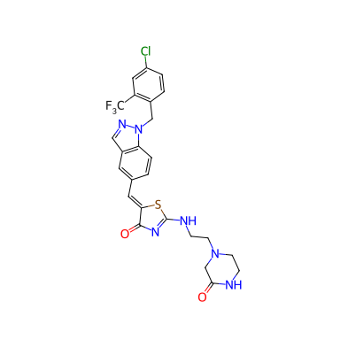 O=C1CN(CCNC2=NC(=O)/C(=C/c3ccc4c(cnn4Cc4ccc(Cl)cc4C(F)(F)F)c3)S2)CCN1